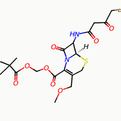 COCC1=C(C(=O)OCOC(=O)C(C)(C)C)N2C(=O)C(NC(=O)CC(=O)CBr)[C@H]2SC1